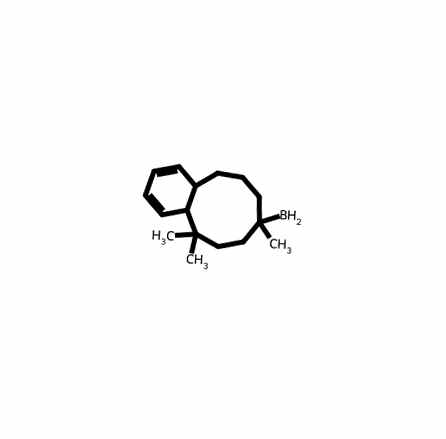 BC1(C)CCCC2C=CC=CC2C(C)(C)CC1